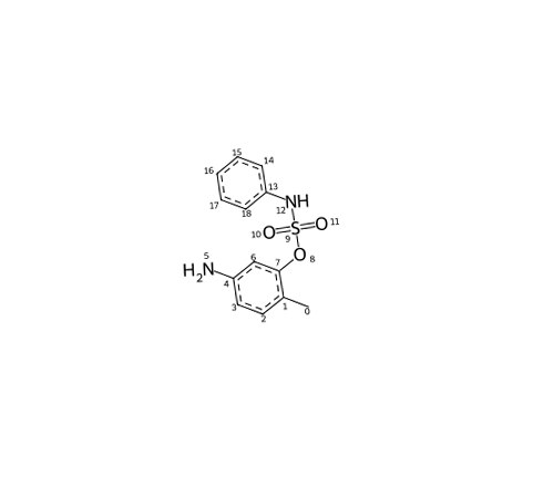 Cc1ccc(N)cc1OS(=O)(=O)Nc1ccccc1